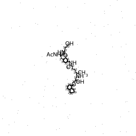 CC(=O)N[C@@H](Cc1ccc(NC(=O)CCCCC(C)NCC(O)COc2cccc3ccccc23)cc1)C(=O)NCCCO